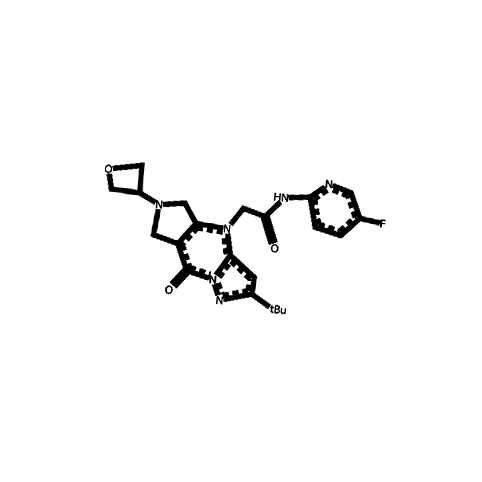 CC(C)(C)c1cc2n(CC(=O)Nc3ccc(F)cn3)c3c(c(=O)n2n1)CN(C1COC1)C3